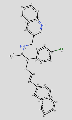 CC(NCc1cnc2ccccc2c1)C(C/C=C/c1ccc2ccccc2c1)c1ccc(Cl)cc1